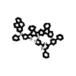 c1ccc(-c2ccc(-c3cc(-c4ccccc4)nc(-c4ccnc(-n5c6cc7c8ccccc8c8ccccc8c7cc6c6c7ccccc7c7c8cc(N(c9ccccc9)c9cc%10ccc%11cccc%12ccc(c9)c%10c%11%12)ccc8sc7c65)c4)n3)cc2)cc1